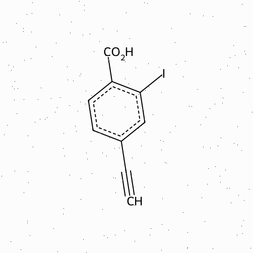 C#Cc1ccc(C(=O)O)c(I)c1